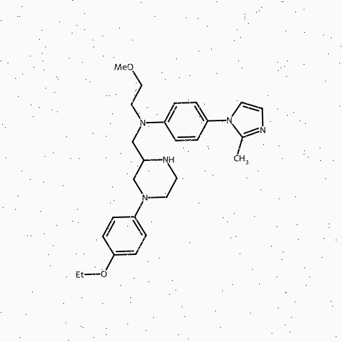 CCOc1ccc(N2CCNC(CN(CCOC)c3ccc(-n4ccnc4C)cc3)C2)cc1